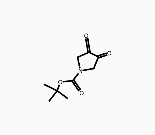 CC(C)(C)OC(=O)N1CC(=O)C(=O)C1